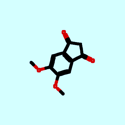 COc1cc2c(cc1OC)C(=O)CC2=O